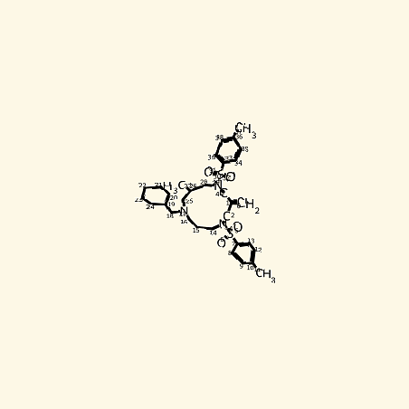 C=C1CN(S(=O)(=O)c2ccc(C)cc2)CCCN(CC2CCCCC2)CC(C)CN(S(=O)(=O)c2ccc(C)cc2)C1